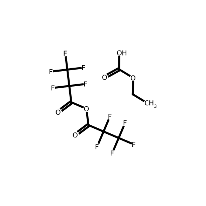 CCOC(=O)O.O=C(OC(=O)C(F)(F)C(F)(F)F)C(F)(F)C(F)(F)F